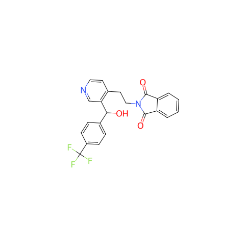 O=C1c2ccccc2C(=O)N1CCc1ccncc1C(O)c1ccc(C(F)(F)F)cc1